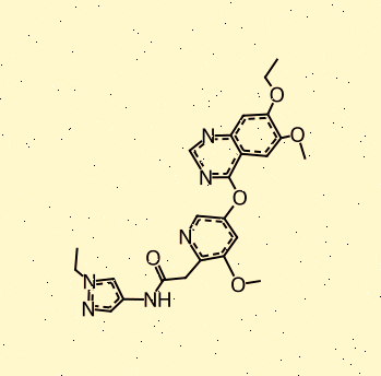 CCOc1cc2ncnc(Oc3cnc(CC(=O)Nc4cnn(CC)c4)c(OC)c3)c2cc1OC